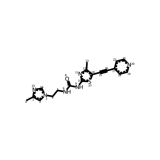 Cc1cn(CCNC(=O)Nc2nc(C)c(C#Cc3ccncc3)s2)cn1